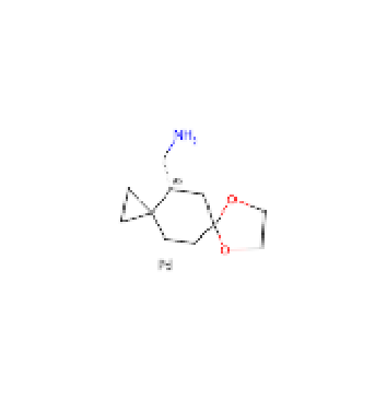 NC[C@@H]1CC2(CCC13CC3)OCCO2.[Pd]